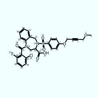 COCC#CCOc1ccc(S(=O)(=O)N2Cc3ccccc3N(C(=O)c3c(F)cccc3Cl)CC2C(=O)O)cc1